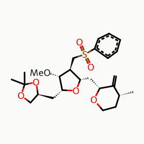 C=C1[C@H](C)CCO[C@@H]1C[C@@H]1O[C@H](C[C@H]2COC(C)(C)O2)[C@H](OC)[C@H]1CS(=O)(=O)c1ccccc1